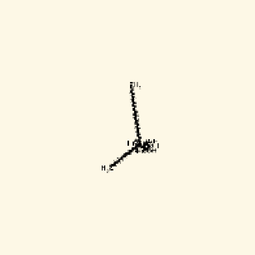 CCCCCCCCCCCCCCCCCCCCCCCCCC(=O)N[C@@H](C[C@H]1C[C@H](CO)[C@H](O)[C@H](O)[C@H]1O)[C@H](O)[C@H](O)CCCCCCCCCCCCCC